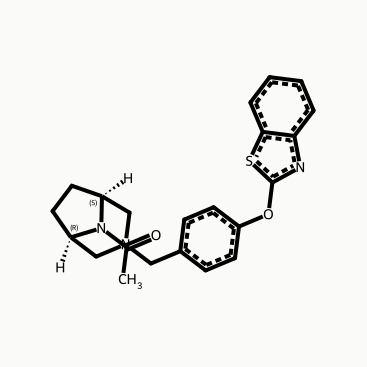 CC(=O)N1[C@@H]2CC[C@H]1CN(Cc1ccc(Oc3nc4ccccc4s3)cc1)C2